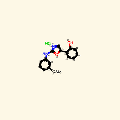 COc1cccc(Nc2ncc(-c3ccccc3O)o2)c1.Cl